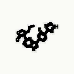 CCCC1COC(=O)N1c1ccn2ncc(-c3ccc(-c4nc[nH]n4)c(F)c3)c2n1